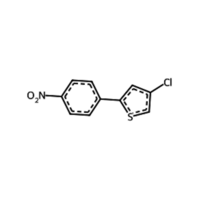 O=[N+]([O-])c1ccc(-c2cc(Cl)cs2)cc1